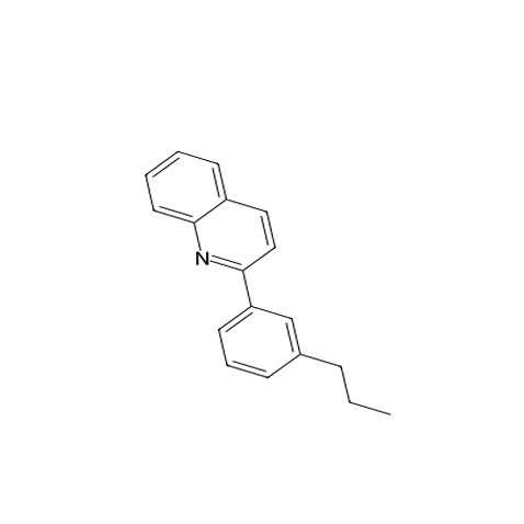 CCCc1cccc(-c2ccc3ccccc3n2)c1